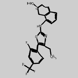 CCc1nc(Nc2cccc3c2C[C@@H](O)CC3)oc1-c1ccc(C(F)(F)F)cc1F